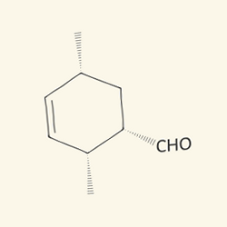 C[C@@H]1C=C[C@H](C)C[C@@H]1C=O